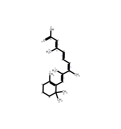 CC1=C(/C=C(C)/C(C)=C\C=C\C(C)=C\C(=O)O)C(C)(C)CCC1